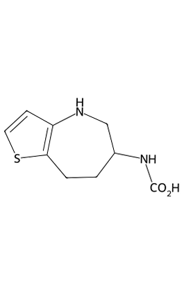 O=C(O)NC1CCc2sccc2NC1